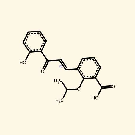 CC(C)Oc1c(/C=C/C(=O)c2ccccc2O)cccc1C(=O)O